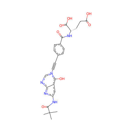 CC(C)(C)C(=O)Nc1cc2c(O)n(C#Cc3ccc(C(=O)N[C@@H](CCC(=O)O)C(=O)O)cc3)cnc-2n1